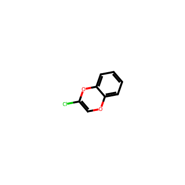 ClC1=[C]Oc2ccccc2O1